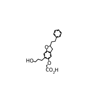 O=C(O)COc1cc2c(cc1CCCO)OC(CCc1ccccc1)C2